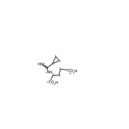 N=C(N)C1CC1.O=C(O)CCCC(=O)O